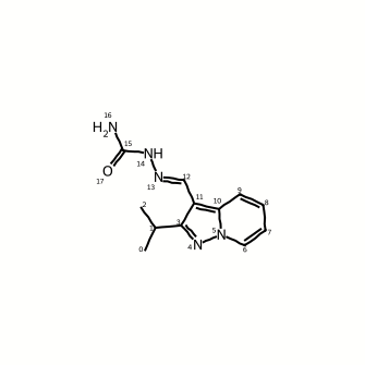 CC(C)c1nn2ccccc2c1/C=N/NC(N)=O